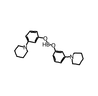 B(Oc1cccc(N2CCCCC2)c1)Oc1cccc(N2CCCCC2)c1